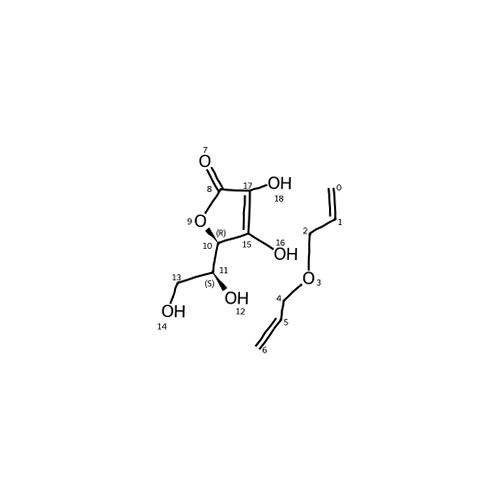 C=CCOCC=C.O=C1O[C@H]([C@@H](O)CO)C(O)=C1O